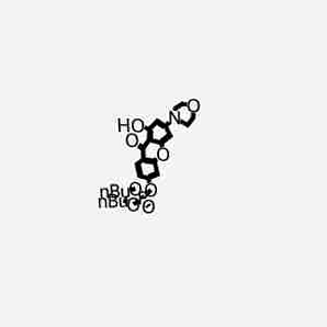 CCCCOP(=O)(OCCCC)Oc1ccc2c(=O)c3c(O)cc(N4CCOCC4)cc3oc2c1